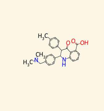 Cc1ccc(C2C(=O)c3c(cccc3C(=O)O)NC2c2ccc(CN(C)C)cc2)cc1